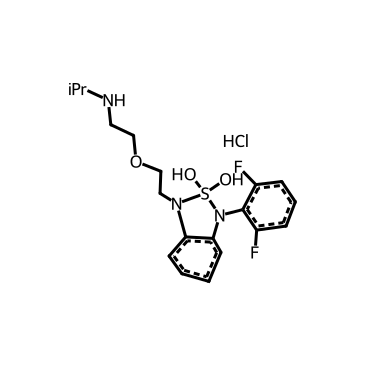 CC(C)NCCOCCN1c2ccccc2N(c2c(F)cccc2F)S1(O)O.Cl